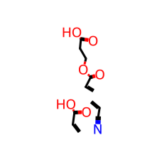 C=CC#N.C=CC(=O)O.C=CC(=O)OCCC(=O)O